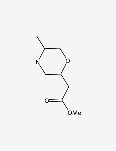 COC(=O)CC1C[N]C(C)CO1